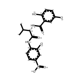 CC(C)[C@H](NC(=O)c1cc(Cl)ccc1O)C(=O)Nc1ccc([N+](=O)[O-])cc1Cl